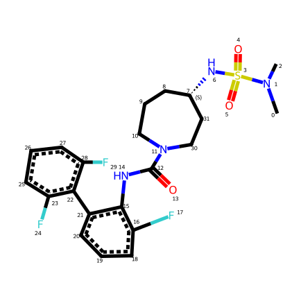 CN(C)S(=O)(=O)N[C@H]1CCCN(C(=O)Nc2c(F)cccc2-c2c(F)cccc2F)CC1